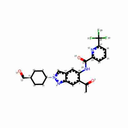 CC(=O)c1cc2nn([C@H]3CC[C@H](C=O)CC3)cc2cc1NC(=O)c1cccc(C(F)(F)F)n1